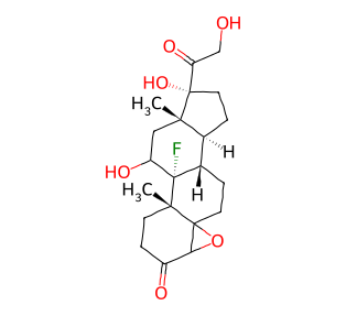 C[C@]12CC(O)[C@@]3(F)[C@@H](CCC45OC4C(=O)CC[C@@]53C)[C@@H]1CC[C@]2(O)C(=O)CO